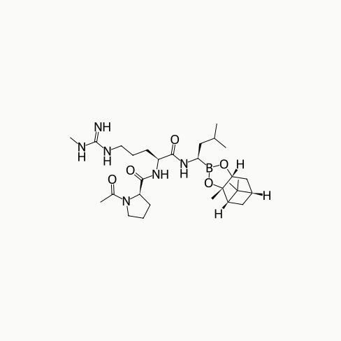 CNC(=N)NCCC[C@H](NC(=O)[C@H]1CCCN1C(C)=O)C(=O)N[C@@H](CC(C)C)B1O[C@@H]2C[C@@H]3C[C@@H](C3(C)C)[C@]2(C)O1